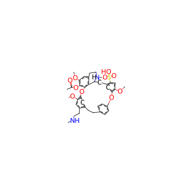 CNCCc1cc(OC)c2cc1CCc1ccc(cc1)Oc1cc(c(S(=O)(=O)O)cc1OC)C[C@H]1c3c(cc(OC)c(OC(C)=O)c3O2)CCN1C